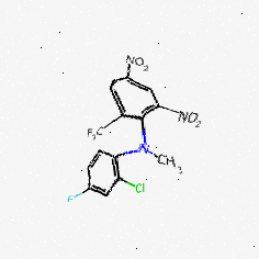 CN(c1ccc(F)cc1Cl)c1c([N+](=O)[O-])cc([N+](=O)[O-])cc1C(F)(F)F